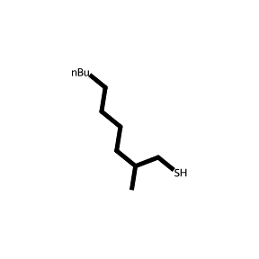 CCCCCCCCC(C)CS